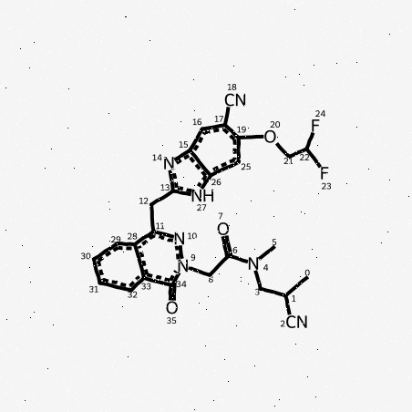 CC(C#N)CN(C)C(=O)Cn1nc(Cc2nc3cc(C#N)c(OCC(F)F)cc3[nH]2)c2ccccc2c1=O